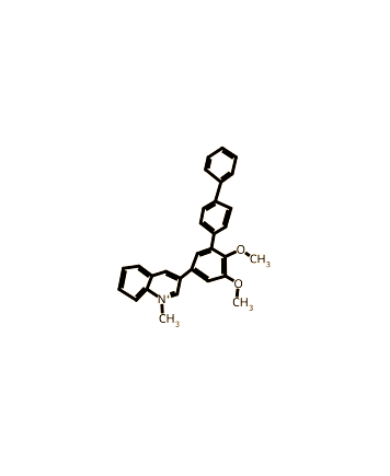 COc1cc(-c2cc3ccccc3[n+](C)c2)cc(-c2ccc(-c3ccccc3)cc2)c1OC